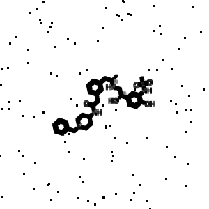 C[C@H](Cc1cccc(CC(=O)NC2CCN(Cc3ccccc3)CC2)c1)NC[C@H](O)c1ccc(O)c(NS(C)(=O)=O)c1